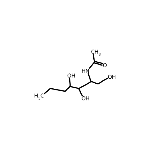 CCCC(O)C(O)C(CO)NC(C)=O